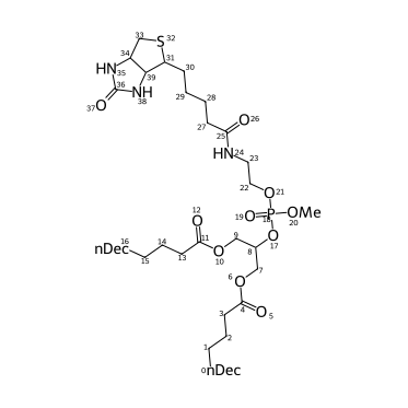 CCCCCCCCCCCCCC(=O)OCC(COC(=O)CCCCCCCCCCCCC)OP(=O)(OC)OCCNC(=O)CCCCC1SCC2NC(=O)NC21